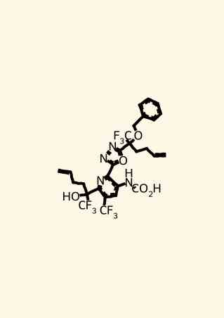 C=CCCC(O)(c1nc(-c2nnc(C(CCC=C)(OCc3ccccc3)C(F)(F)F)o2)c(NC(=O)O)cc1C(F)(F)F)C(F)(F)F